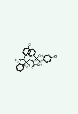 C[C@@]1(c2ccccc2)[C@H](c2ccc(Cl)cc2)NC(=S)N1CC(N)(c1ccccc1)C(N)c1ccc(Cl)cc1